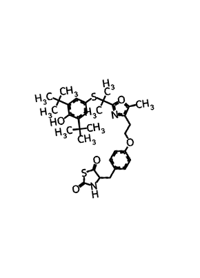 Cc1oc(C(C)(C)Sc2cc(C(C)(C)C)c(O)c(C(C)(C)C)c2)nc1CCOc1ccc(CC2NC(=O)SC2=O)cc1